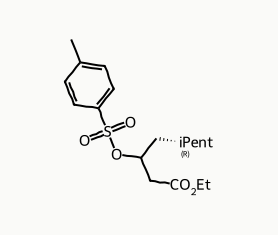 CCC[C@@H](C)CC(CC(=O)OCC)OS(=O)(=O)c1ccc(C)cc1